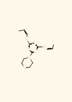 C/C=C\Nc1nc(N/C=C\C)nc(N2CCNCC2)n1